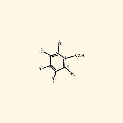 [2H]c1c([2H])c(Cl)c(Cl)c(C(=O)O)c1[2H]